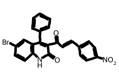 O=C(C=Cc1ccc([N+](=O)[O-])cc1)c1c(-c2ccccc2)c2cc(Br)ccc2[nH]c1=O